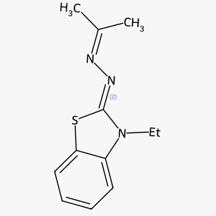 CCn1/c(=N/N=C(C)C)sc2ccccc21